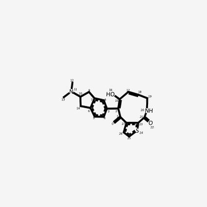 C=C1/C(c2ccc3c(c2)CC(N(C)C)C3)=C(O)\C=C/CNC(=O)c2sccc21